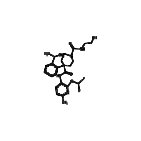 Cc1ccc(NC(=O)C2(c3ccccc3C(C)C)CCN(C(=O)NCCO)CC2)c(OC(F)F)n1